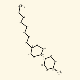 CCCCCCCCC1CCC([C@H]2CC[C@H](C)CC2)CC1